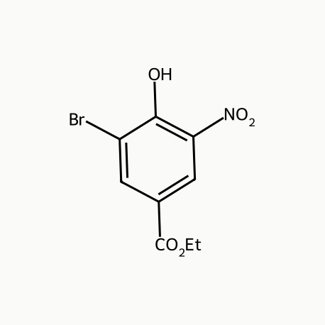 CCOC(=O)c1cc(Br)c(O)c([N+](=O)[O-])c1